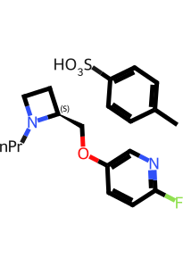 CCCN1CC[C@H]1COc1ccc(F)nc1.Cc1ccc(S(=O)(=O)O)cc1